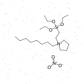 CCCCCCCC[N+]1(CC[Si](OCC)(OCC)OCC)CCCC1.O=[N+]([O-])[O-]